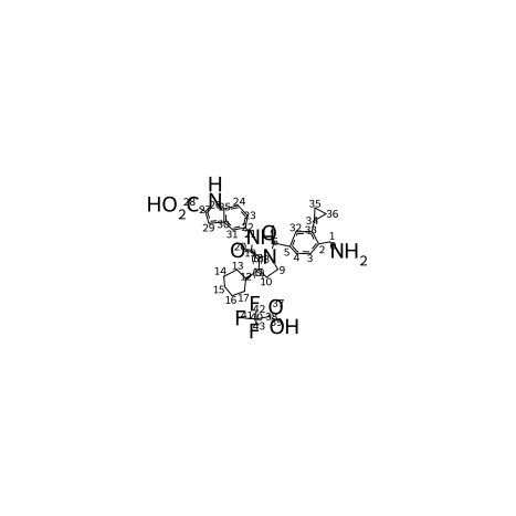 NCc1ccc(C(=O)N2CC[C@@H](C3CCCCC3)[C@H]2C(=O)Nc2ccc3[nH]c(C(=O)O)cc3c2)cc1C1CC1.O=C(O)C(F)(F)F